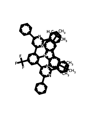 CC(C)(C)c1ccc2c(c1)c1cc(C(C)(C)C)ccc1n2-c1c(-c2cc(-c3ccccc3)nc(-c3ccccc3)n2)cc(C(F)(F)F)cc1-c1cc(-c2ccccc2)nc(-c2ccccc2)n1